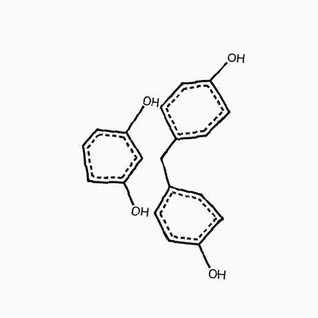 Oc1ccc(Cc2ccc(O)cc2)cc1.Oc1cccc(O)c1